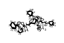 CC(C)C[C@@](CCCCNC(=O)[C@@H]1CCCN1C(=O)c1ccccc1)(C(=O)Nc1ccccc1)N(C[PH2]=O)C(=O)CCCc1ccccc1